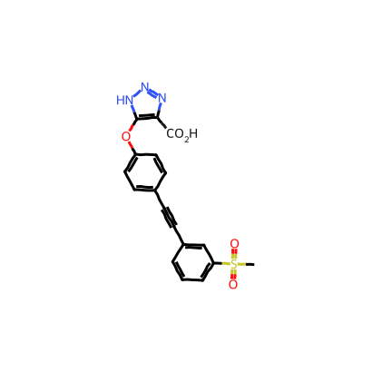 CS(=O)(=O)c1cccc(C#Cc2ccc(Oc3[nH]nnc3C(=O)O)cc2)c1